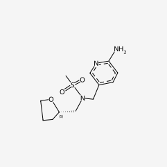 CS(=O)(=O)N(Cc1ccc(N)nc1)C[C@@H]1CCCO1